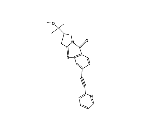 COC(C)(C)C1Cc2nc3cc(C#Cc4ccccn4)ccc3c(=O)n2C1